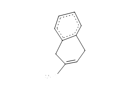 COC1=CCc2ccccc2[CH]1